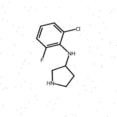 Fc1cccc(Cl)c1NC1CCNC1